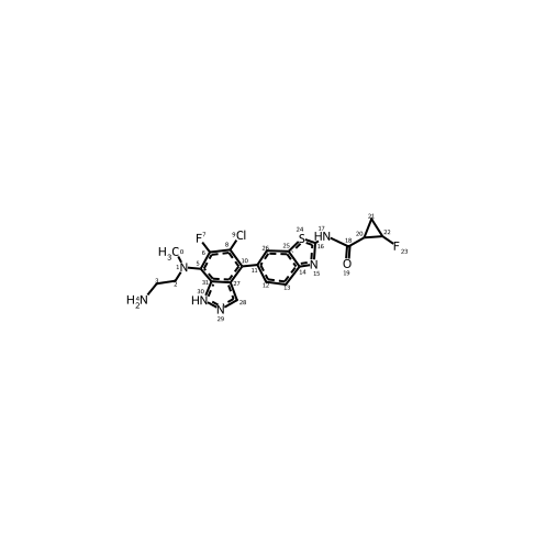 CN(CCN)c1c(F)c(Cl)c(-c2ccc3nc(NC(=O)C4CC4F)sc3c2)c2cn[nH]c12